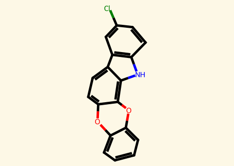 Clc1ccc2[nH]c3c4c(ccc3c2c1)Oc1ccccc1O4